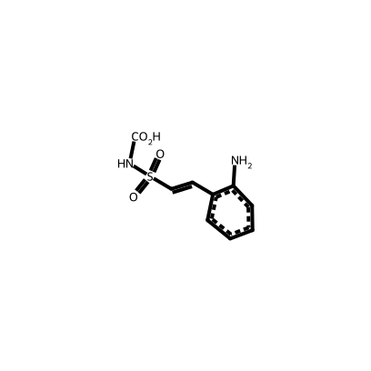 Nc1ccccc1C=CS(=O)(=O)NC(=O)O